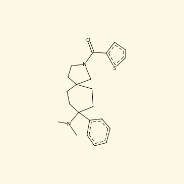 CN(C)C1(c2ccccc2)CCC2(CCN(C(=O)c3cccs3)C2)CC1